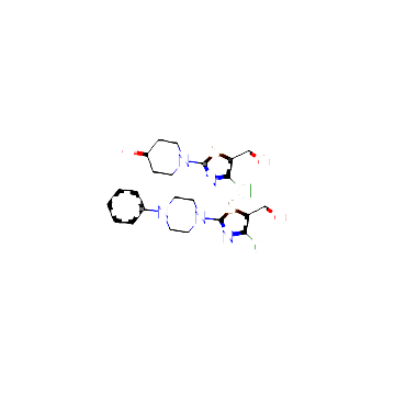 O=Cc1sc(N2CCC(=O)CC2)nc1Cl.O=Cc1sc(N2CCN(c3ccccc3)CC2)nc1Cl